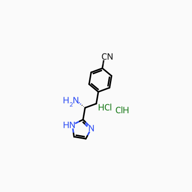 Cl.Cl.N#Cc1ccc(C[C@@H](N)c2ncc[nH]2)cc1